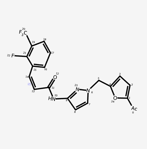 CC(=O)c1ccc(Cn2ccc(NC(=O)/C=C\c3cccc(C(F)(F)F)c3F)n2)o1